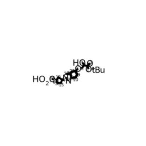 CC(C)(C)OC(=O)C(O)COc1ccc2nn(C3CCN(C(=O)O)C3)cc2c1